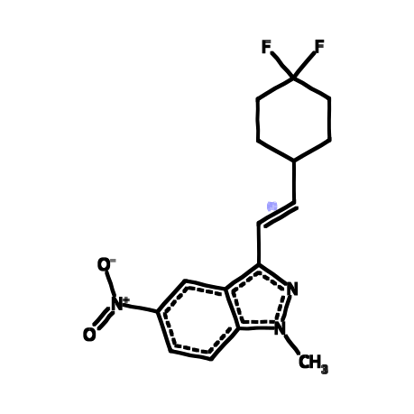 Cn1nc(/C=C/C2CCC(F)(F)CC2)c2cc([N+](=O)[O-])ccc21